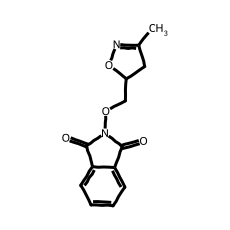 CC1=NOC(CON2C(=O)c3ccccc3C2=O)C1